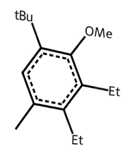 CCc1c(C)cc(C(C)(C)C)c(OC)c1CC